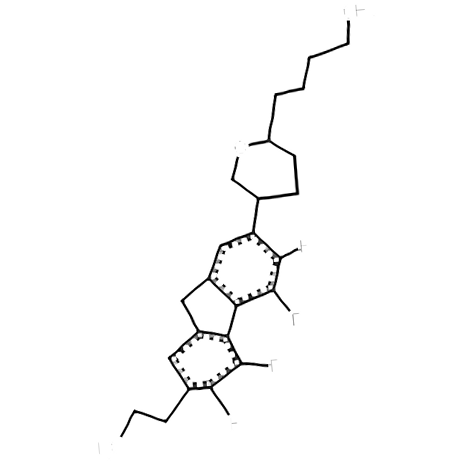 CCCCCC1CCC(c2cc3c(c(F)c2F)-c2c(cc(CCC)c(F)c2F)C3)CO1